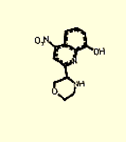 O=[N+]([O-])c1cc(C2COCCN2)nc2c(O)cccc12